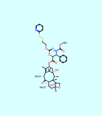 CO[C@H]1C(=O)[C@]2(C)[C@@H](OC)C[C@H]3OC[C@@]3(O)[C@@]2(C)[C@H](C)[C@]2(O)C[C@H](OC(=O)C(OC(=O)OCCSSc3ccccn3)[C@@H](NC(=O)OC(C)(C)C)c3ccccc3)C(C)=C1C2(C)C